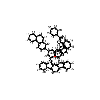 c1ccc(-c2cc(-c3ccc4c(ccc5ccccc54)c3)cc(-n3c4ccccc4c4ccc5c6ccccc6n(-c6cccc(-c7cccc8nc(-c9ccccc9)oc78)c6)c5c43)c2)cc1